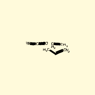 C=C.C=CC.N=C=O